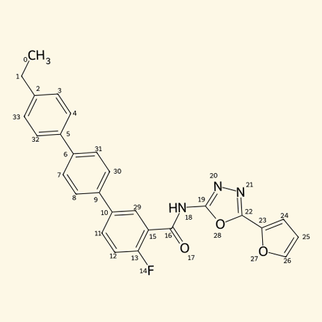 CCc1ccc(-c2ccc(-c3ccc(F)c(C(=O)Nc4nnc(-c5ccco5)o4)c3)cc2)cc1